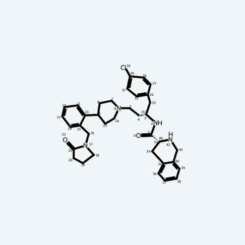 O=C(N[C@H](CCN1CCC(c2ccccc2CN2CCCC2=O)CC1)Cc1ccc(Cl)cc1)[C@H]1Cc2ccccc2CN1